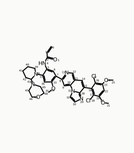 C=CC(=O)Nc1cc(-c2cc3c(cn2)cc(-c2c(Cl)c(OC)cc(OC)c2Cl)c2nccn23)c(OC)cc1N1CCCCC1N1CCOCC1